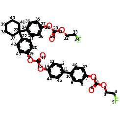 O=C(OCCF)Oc1ccc(-c2ccc(OC(=O)Oc3ccc(C4(c5ccc(OC(=O)OCCF)cc5)CCCCC4)cc3)cc2)cc1